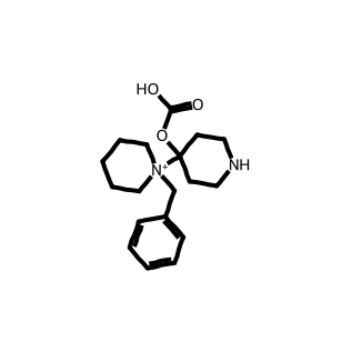 O=C(O)OC1([N+]2(Cc3ccccc3)CCCCC2)CCNCC1